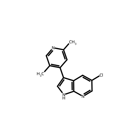 Cc1cc(-c2c[nH]c3ncc(Cl)cc23)c(C)cn1